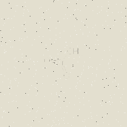 [CH3][Er](=[O])=[O]